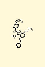 CCCc1ccc(OCc2ccccc2)c2c(C)c(C(=O)c3ccc(OC)cc3)oc12